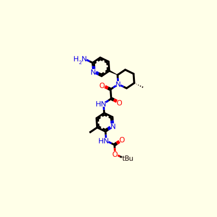 Cc1cc(NC(=O)C(=O)N2C[C@@H](C)CC[C@@H]2c2ccc(N)nc2)cnc1NC(=O)OC(C)(C)C